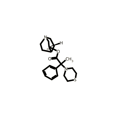 CC(C(=O)O[C@H]1CN2CCC1CC2)(c1ccccc1)N1CCSCC1